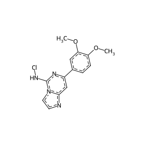 COc1ccc(-c2cc3nccn3c(NCl)n2)cc1OC